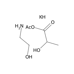 CC(=O)OC(=O)C(C)O.NCCO.[KH]